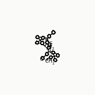 C=Cc1ccc(C2(c3ccccc3)c3ccccc3-c3ccc(N(c4ccc(-c5ccccc5)cc4)c4ccc(-c5ccc(N(c6ccc(-c7ccccc7)cc6)c6ccc7c(c6)C(c6ccccc6)(c6ccc(C=C)cc6)c6ccccc6-7)cc5F)c(F)c4)cc32)cc1